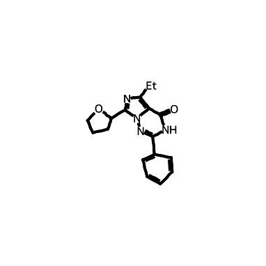 CCc1nc(C2CCCO2)n2nc(-c3ccccc3)[nH]c(=O)c12